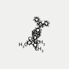 Cc1cc(C)c2c(c1)c1cc(C)cc(C)c1n2-c1ccc(C(c2ccc(-c3nc(-c4ccccc4)cc(-c4ccccc4)n3)cc2)(C(F)(F)F)C(F)(F)F)cc1